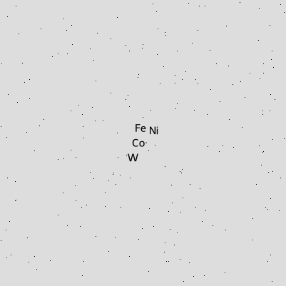 [Co].[Fe].[Ni].[W]